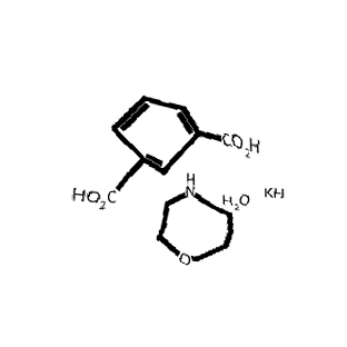 C1COCCN1.O.O=C(O)c1cccc(C(=O)O)c1.[KH]